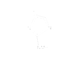 CNc1ncon1